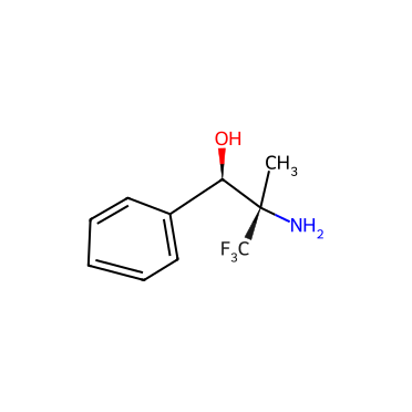 C[C@](N)([C@H](O)c1ccccc1)C(F)(F)F